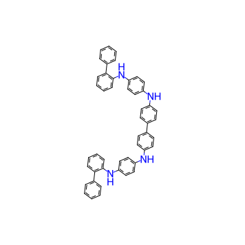 c1ccc(-c2ccccc2Nc2ccc(Nc3ccc(-c4ccc(Nc5ccc(Nc6ccccc6-c6ccccc6)cc5)cc4)cc3)cc2)cc1